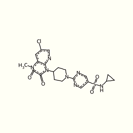 Cn1c(=O)c(=O)n(C2CCN(c3ncc(S(=O)(=O)NC4CC4)cn3)CC2)c2ncc(Cl)cc21